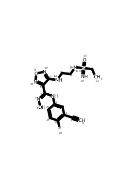 C#Cc1cc(N/C(=N\O)c2nonc2NCCNS(=N)(=O)CC)ccc1F